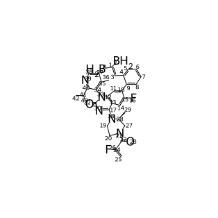 BC(B)=Cc1ccccc1-c1cc2c(cc1F)c(N1CCN(C(=O)C(=C)F)C[C@@H]1C)nc(=O)n2-c1c(C)ccnc1C(C)C